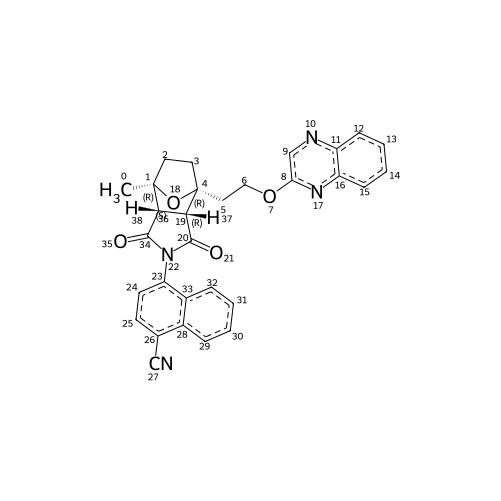 C[C@]12CC[C@](CCOc3cnc4ccccc4n3)(O1)[C@@H]1C(=O)N(c3ccc(C#N)c4ccccc34)C(=O)[C@@H]12